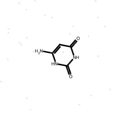 Nc1[c]c(=O)[nH]c(=O)[nH]1